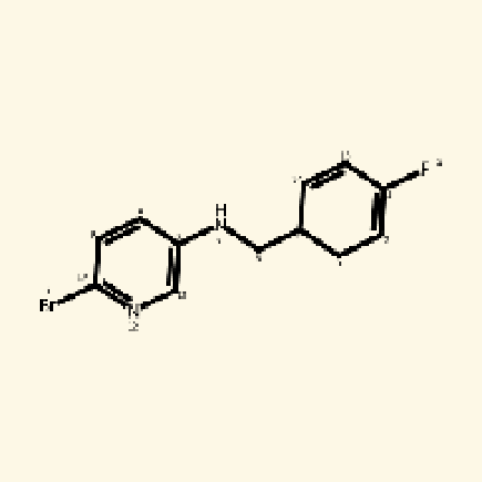 FC1=CCC(CNc2ccc(Br)nc2)C=C1